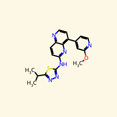 COc1cc(-c2ccnc3ccc(Nc4nnc(C(C)C)s4)nc23)ccn1